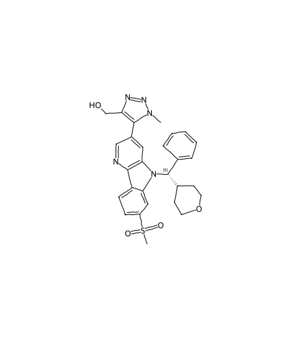 Cn1nnc(CO)c1-c1cnc2c3ccc(S(C)(=O)=O)cc3n([C@H](c3ccccc3)C3CCOCC3)c2c1